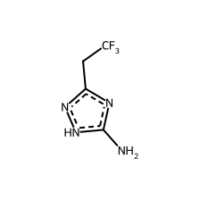 Nc1nc(CC(F)(F)F)n[nH]1